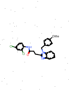 COc1ccc(Cn2c(CCC(=O)Nc3ccc(Cl)cc3Cl)nc3ccccc32)cc1